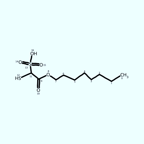 CCCCCCCCOC(=O)C(S)S(=O)(=O)O